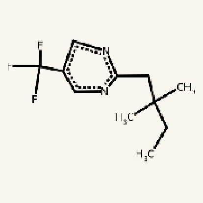 CCC(C)(C)Cc1ncc(C(F)(F)F)cn1